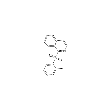 Cc1ccccc1S(=O)(=O)c1nccc2ccccc12